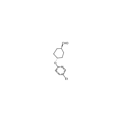 CCc1ccc(O[C@H]2CC[C@H](C=O)CC2)nc1